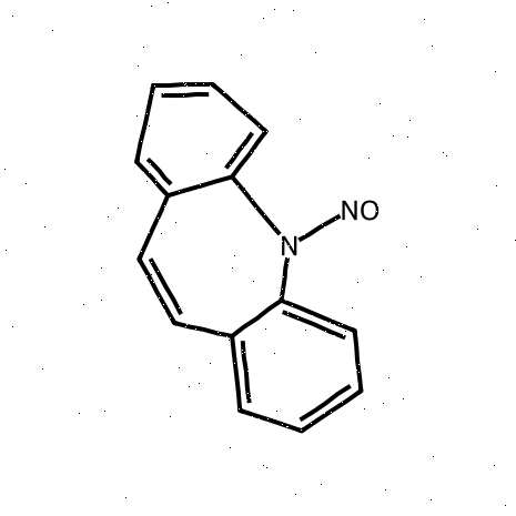 O=NN1c2ccccc2C=Cc2ccccc21